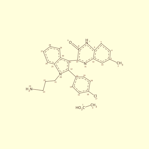 CC(=O)O.Cc1ccc2[nH]c(=O)c(-c3c(-c4ccc(Cl)cc4)n(CCCN)c4ccccc34)nc2c1